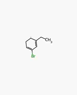 CCC1=CC(Br)=CC[CH]1